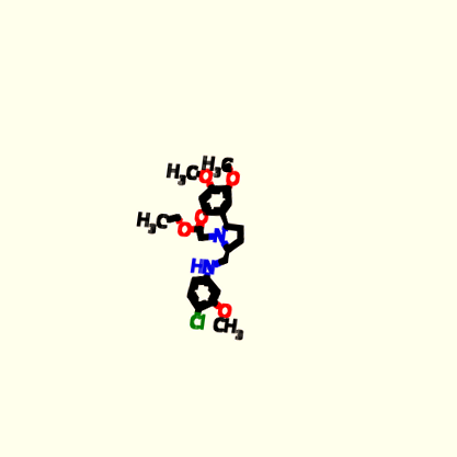 CCOC(=O)CN1[C@H](CNc2ccc(Cl)c(OC)c2)CC[C@@H]1c1ccc(OC)c(OC)c1